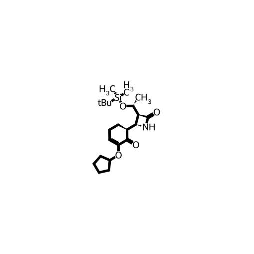 C[C@@H](O[Si](C)(C)C(C)(C)C)[C@H]1C(=O)N[C@@H]1[C@@H]1CCC=C(OC2CCCC2)C1=O